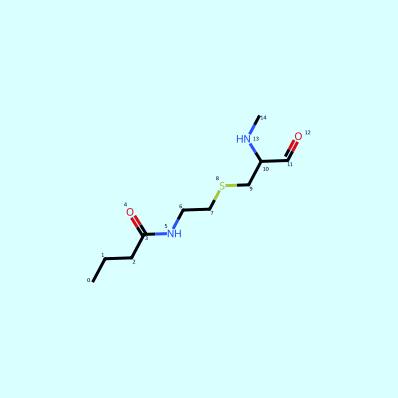 CCCC(=O)NCCSCC(C=O)NC